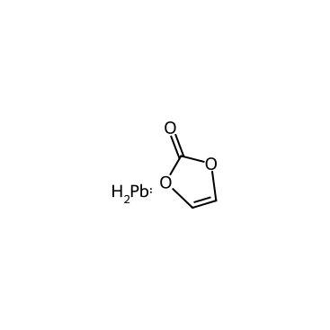 O=c1occo1.[PbH2]